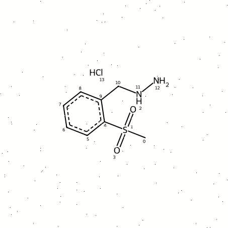 CS(=O)(=O)c1ccccc1CNN.Cl